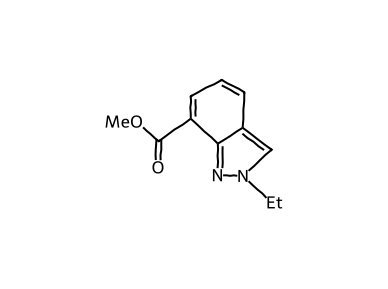 CCn1cc2cccc(C(=O)OC)c2n1